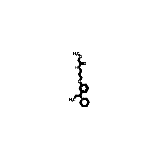 CCC(c1cccc(OCCCNC(=O)COC)c1)N1CCCCC1